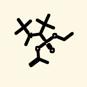 C=C(C)OP(=O)(OCC)C(N(C)C(C)(C)C)C(C)(C)C